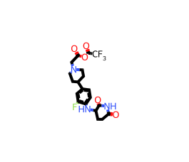 O=C1CCC(Nc2ccc(C3CCN(CC(=O)OC(=O)C(F)(F)F)CC3)cc2F)C(=O)N1